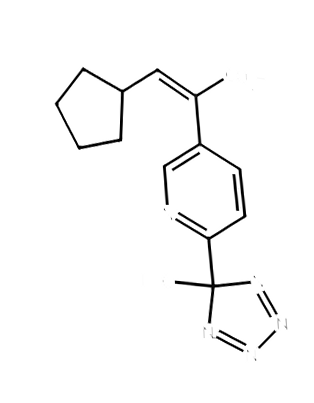 CC1(c2ccc(/C(=C\C3CCCC3)C(=O)O)cn2)N=NN=N1